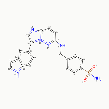 NS(=O)(=O)c1ccc(CNc2ccc3ncc(-c4ccc5[nH]ccc5c4)n3n2)cc1